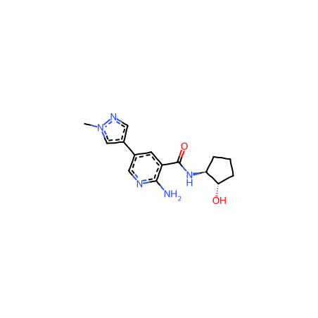 Cn1cc(-c2cnc(N)c(C(=O)N[C@H]3CCC[C@@H]3O)c2)cn1